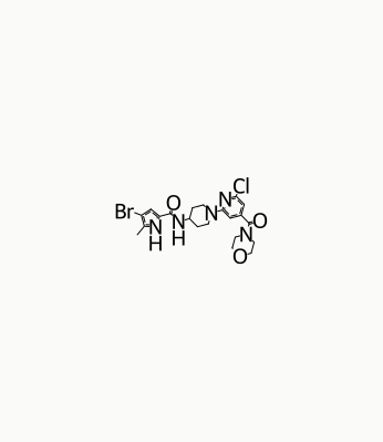 Cc1[nH]c(C(=O)NC2CCN(c3cc(C(=O)N4CCOCC4)cc(Cl)n3)CC2)cc1Br